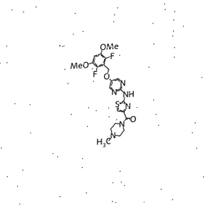 COc1cc(OC)c(F)c(COc2cnc(Nc3nc(C(=O)N4CCN(C)CC4)cs3)nc2)c1F